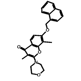 Cc1c(N2CCOCC2)oc2c(C)c(OCc3cccc4ccccc34)ccc2c1=O